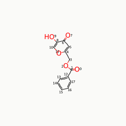 O=C(OCc1cc(=O)c(O)co1)c1ccccc1